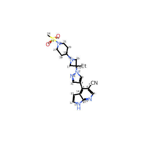 CCC1(n2cc(-c3c(C#N)cnc4[nH]ccc34)cn2)CN(C2CCN(S(C)(=O)=O)CC2)C1